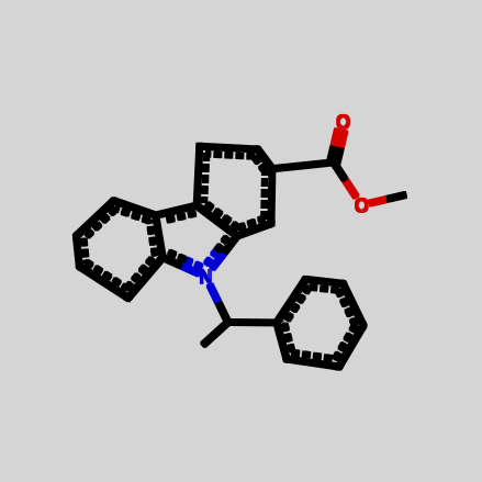 COC(=O)c1ccc2c3ccccc3n(C(C)c3ccccc3)c2c1